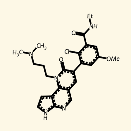 CCNC(=O)c1cc(OC)cc(-c2cc3cnc4[nH]ccc4c3n(CCCN(C)C)c2=O)c1Cl